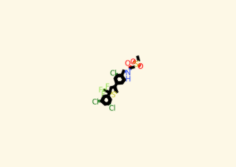 CCS(=O)(=O)CC(=O)NCc1ccc(C2=CSC(c3cc(Cl)cc(Cl)c3)(C(F)(F)F)C2)cc1Cl